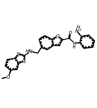 COc1ccc2nc(NCc3ccc4oc(C(=O)Nc5ccccc5N)cc4c3)sc2c1